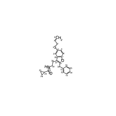 C=CCSc1ccc2oc(Cc3ccccc3)c(CCNC(=O)C3CC3)c2c1